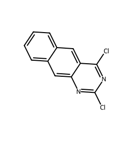 Clc1nc(Cl)c2cc3ccccc3cc2n1